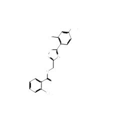 O=C(NCc1noc(-c2ccc(C(F)(F)F)cc2Cl)n1)c1ccccc1C(F)(F)F